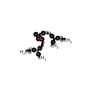 C=CC(=O)Oc1ccc(N(c2ccc(C)cc2)c2ccc(OCOc3ccc(CC4(Cc5ccc(OCOc6ccc(N(c7ccc(C)cc7)c7ccc(OC(=O)C=C)cc7)cc6)cc5)c5ccccc5-c5ccccc54)cc3)cc2)cc1